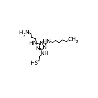 CCCCCCNc1nc(NCCS)nc(NCCCN)n1